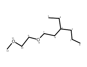 CCC[C](CC)CCOCCOC